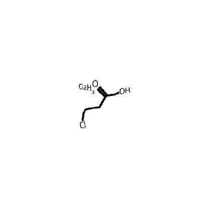 O=C(O)CCCl.[GaH3]